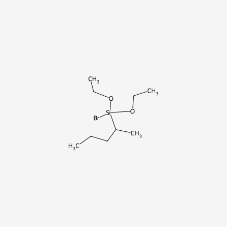 CCCC(C)[Si](Br)(OCC)OCC